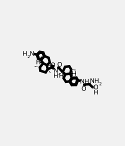 C[C@H]1CC[C@](C)(C(=O)NC(=O)[C@@]2(C)CC[C@H](C)[C@@H]3c4cc(NC(=O)[C@@H](N)CO)ccc4CC[C@H]32)[C@@H]2CCc3ccc(N)cc3[C@H]21